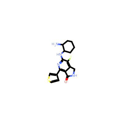 NC1CCCCC1Nc1nc(-c2ccsc2)c2c(c1F)CNC2=O